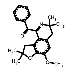 COc1cc2c(c3c1OC(C)(C)C3)C(C(=O)c1ccccc1)=NC(C)(C)C2